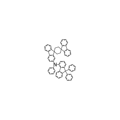 c1ccc(N(c2ccc3c(c2)C2(CCC4(CC2)c2ccccc2-c2ccccc24)c2ccccc2-3)c2cccc3c2-c2ccccc2C3(c2ccccc2)c2ccccc2)cc1